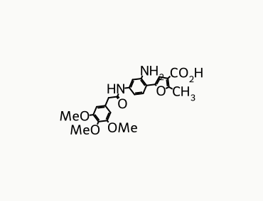 COc1cc(CC(=O)Nc2ccc(-c3cc(C(=O)O)c(C)o3)c(N)c2)cc(OC)c1OC